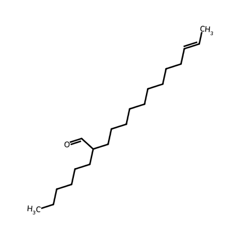 CC=CCCCCCCCCCC(C=O)CCCCCC